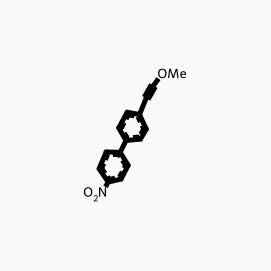 COC#Cc1ccc(-c2ccc([N+](=O)[O-])cc2)cc1